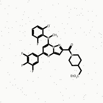 CCOC(=O)CC1CCN(C(=O)c2cc3nc(-c4cc(F)c(F)c(F)c4)cc(N(C)c4c(F)cccc4Cl)n3n2)CC1